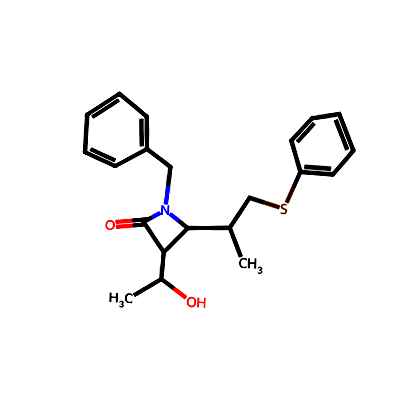 CC(O)C1C(=O)N(Cc2ccccc2)C1C(C)CSc1ccccc1